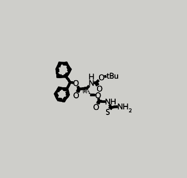 CC(C)(C)OC(=O)N[C@H](COC(=O)NC(N)=S)C(=O)OC(c1ccccc1)c1ccccc1